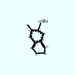 CCCCc1cc2c(cc1C)=CCCC=2